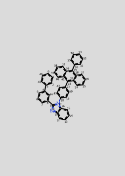 c1ccc(-c2cccc(-c3nc4ccccc4n3-c3ccc(-c4c5ccccc5c(-c5ccccc5)c5ccccc45)cc3)c2)cc1